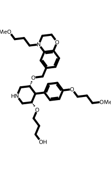 COCCCOc1ccc(C2[C@@H](OCc3ccc4c(c3)N(CCCOC)CCO4)CNC[C@H]2OCCCO)cc1